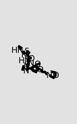 CCNc1nc(C(=O)NC2=Nc3c(ccc(OCCCN4CCOCC4)c3OC)C3=NCCN23)cs1